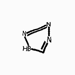 B1C=NN=N1